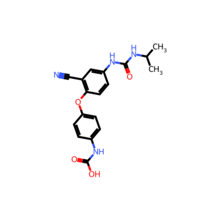 CC(C)NC(=O)Nc1ccc(Oc2ccc(NC(=O)O)cc2)c(C#N)c1